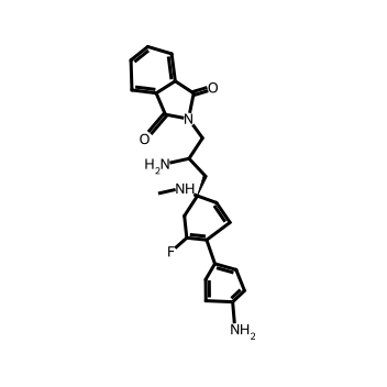 CN[C@]1(CC(N)CN2C(=O)c3ccccc3C2=O)C=CC(c2ccc(N)cc2)=C(F)C1